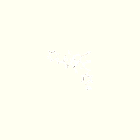 O=C=C1C[S+]([O-])[C@@H]2C(NC(=O)Cc3ccccc3)C(=O)N2C1C(=O)OCc1ccc([N+](=O)[O-])cc1